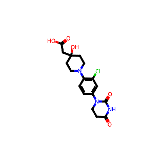 O=C(O)CC1(O)CCN(c2ccc(N3CCC(=O)NC3=O)cc2Cl)CC1